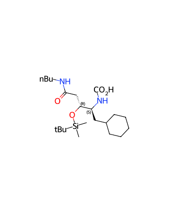 CCCCNC(=O)C[C@@H](O[Si](C)(C)C(C)(C)C)[C@H](CC1CCCCC1)NC(=O)O